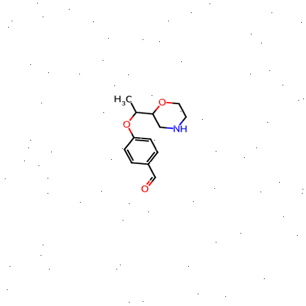 CC(Oc1ccc(C=O)cc1)C1CNCCO1